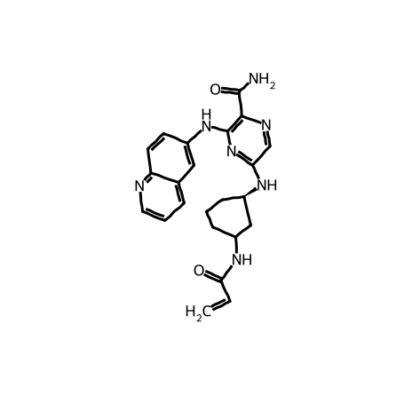 C=CC(=O)NC1CCC[C@@H](Nc2cnc(C(N)=O)c(Nc3ccc4ncccc4c3)n2)C1